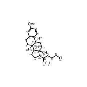 CC(=O)Oc1ccc2c(c1)CC[C@@H]1[C@@H]2CC[C@]2(C)[C@@H](C(CCCCl)C(=O)O)CC[C@@H]12